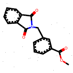 COC(=O)c1cccc(CN2C(=O)c3ccccc3C2=O)c1